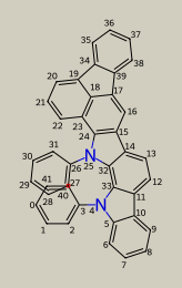 c1ccc(-n2c3ccccc3c3ccc4c5cc6c7c(cccc7c5n(-c5ccccc5)c4c32)-c2ccccc2-6)cc1